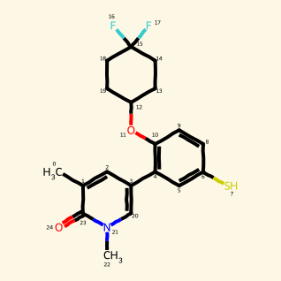 Cc1cc(-c2cc(S)ccc2OC2CCC(F)(F)CC2)cn(C)c1=O